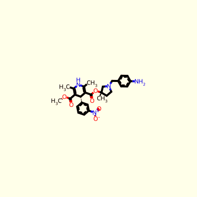 COC(=O)C1=C(C)NC(C)=C(C(=O)O[C@@]2(C)CCN(Cc3ccc(N)cc3)C2)[C@@H]1c1cccc([N+](=O)[O-])c1